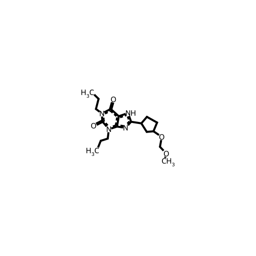 CCCn1c(=O)c2[nH]c(C3CCC(OCOC)C3)nc2n(CCC)c1=O